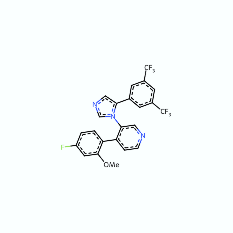 COc1cc(F)ccc1-c1ccncc1-n1cncc1-c1cc(C(F)(F)F)cc(C(F)(F)F)c1